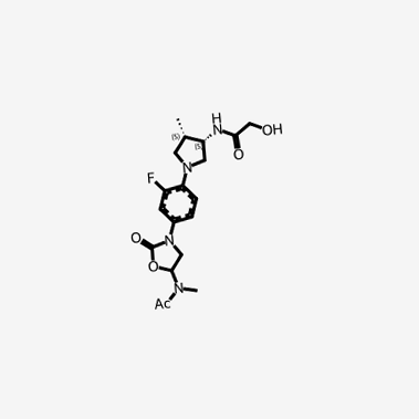 CC(=O)N(C)C1CN(c2ccc(N3C[C@H](C)[C@H](NC(=O)CO)C3)c(F)c2)C(=O)O1